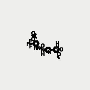 CCOc1cc(-c2ccc(NC(=O)Nc3ccc(OC4(C)COC4)c(C(F)(F)F)c3)cn2)c[nH]c1=O